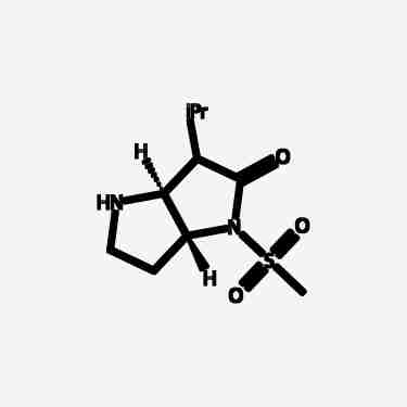 CC(C)C1C(=O)N(S(C)(=O)=O)[C@@H]2CCN[C@@H]12